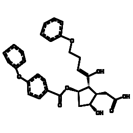 O=C(O)C[C@@H]1[C@@H](C(O)=CCCOc2ccccc2)[C@H](OC(=O)c2ccc(Oc3ccccc3)cc2)C[C@@H]1O